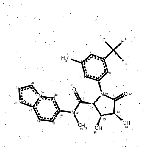 Cc1cc(C(F)(F)F)cc(N2C(=O)[C@@H](O)[C@@H](O)[C@H]2C(=O)N(C)c2ccc3nccn3n2)n1